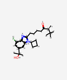 C[C@H](C(=O)CCCCc1nc2c(F)cc(C(C)(C)O)cc2n1C1CCC1)C(C)(C)C